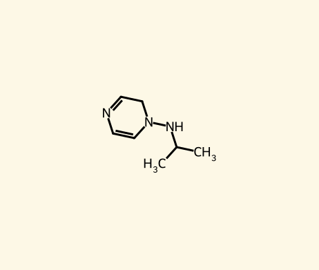 CC(C)NN1C=CN=CC1